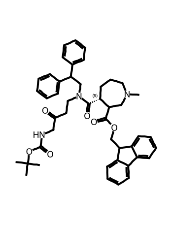 CN1CCC[C@@H](C(=O)N(CCC(=O)CNC(=O)OC(C)(C)C)CC(c2ccccc2)c2ccccc2)C(C(=O)OCC2c3ccccc3-c3ccccc32)C1